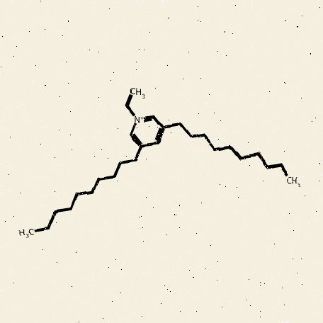 CCCCCCCCCCc1cc(CCCCCCCCCC)c[n+](CC)c1